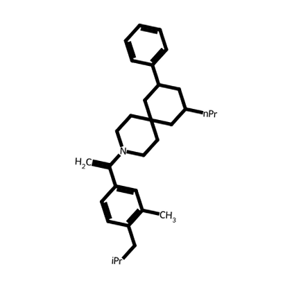 C=C(c1ccc(CC(C)C)c(C)c1)N1CCC2(CC1)CC(CCC)CC(c1ccccc1)C2